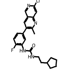 Cc1nc2cc(Cl)ncc2cc1-c1ccc(F)c(NC(=O)NCCC2CCCC2)c1